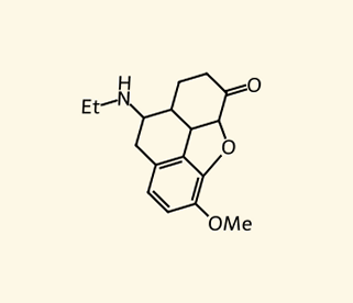 CCNC1Cc2ccc(OC)c3c2C2C(O3)C(=O)CCC12